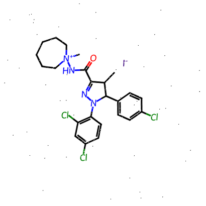 CC1C(C(=O)N[N+]2(C)CCCCCC2)=NN(c2ccc(Cl)cc2Cl)C1c1ccc(Cl)cc1.[I-]